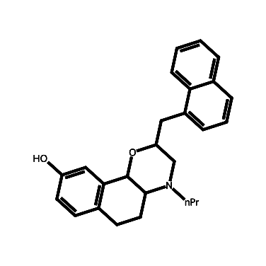 CCCN1CC(Cc2cccc3ccccc23)OC2c3cc(O)ccc3CCC21